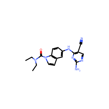 CCN(CC)C(=O)n1ccc2cc(Nc3nc(N)ncc3C#N)ccc21